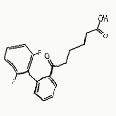 O=C(O)CCCCC(=O)c1ccccc1-c1c(F)cccc1F